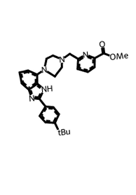 COC(=O)c1cccc(CN2CCN(c3cccc4nc(-c5ccc(C(C)(C)C)cc5)[nH]c34)CC2)n1